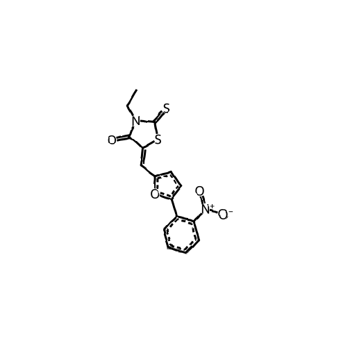 CCN1C(=O)C(=Cc2ccc(-c3ccccc3[N+](=O)[O-])o2)SC1=S